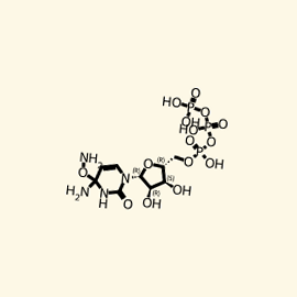 NOC1(N)C=CN([C@@H]2O[C@H](COP(=O)(O)OP(=O)(O)OP(=O)(O)O)[C@@H](O)[C@H]2O)C(=O)N1